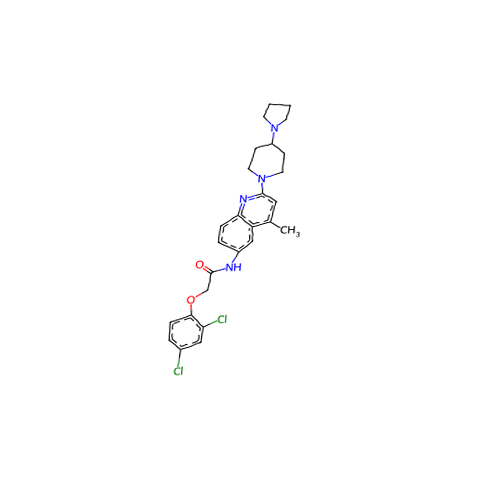 Cc1cc(N2CCC(N3CCCC3)CC2)nc2ccc(NC(=O)COc3ccc(Cl)cc3Cl)cc12